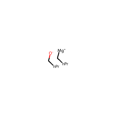 CCCC[O-].CCC[CH2][Mg+]